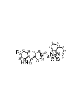 CC1CCc2cccc3c2N1S(=O)(=O)N3CCN1CC=C(c2c[nH]c3cc(F)ccc23)CC1